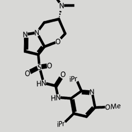 COc1cc(C(C)C)c(NC(=O)NS(=O)(=O)c2cnn3c2OC[C@@H](N(C)C)C3)c(C(C)C)n1